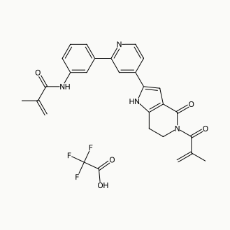 C=C(C)C(=O)Nc1cccc(-c2cc(-c3cc4c([nH]3)CCN(C(=O)C(=C)C)C4=O)ccn2)c1.O=C(O)C(F)(F)F